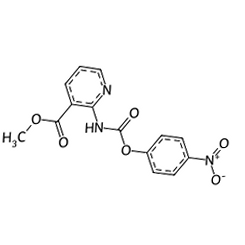 COC(=O)c1cccnc1NC(=O)Oc1ccc([N+](=O)[O-])cc1